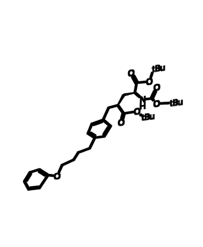 CC(C)(C)OC(=O)N[C@@H](C[C@H](Cc1ccc(CCCCOc2ccccc2)cc1)C(=O)OC(C)(C)C)C(=O)OC(C)(C)C